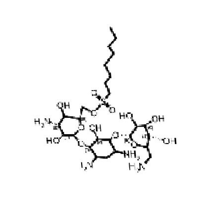 CCCCCCCCS(=O)(=O)OC[C@H]1OC(O[C@@H]2C(N)CC(N)C(O[C@H]3OC(CN)[C@@H](O)[C@H](O)C3O)[C@@H]2O)[C@H](O)[C@H](N)C1O